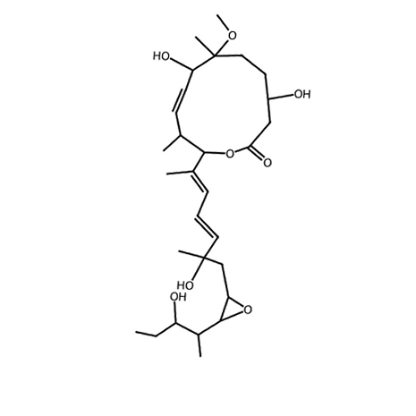 CCC(O)C(C)C1OC1CC(C)(O)/C=C/C=C(\C)C1OC(=O)CC(O)CCC(C)(OC)C(O)/C=C/C1C